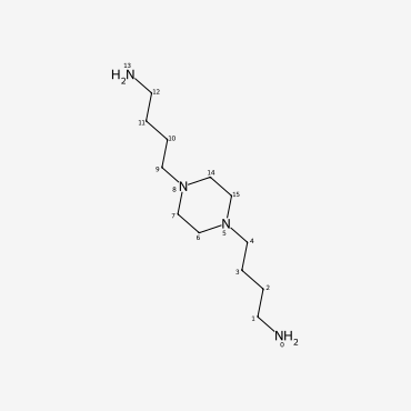 NCCCCN1CCN(CCCCN)CC1